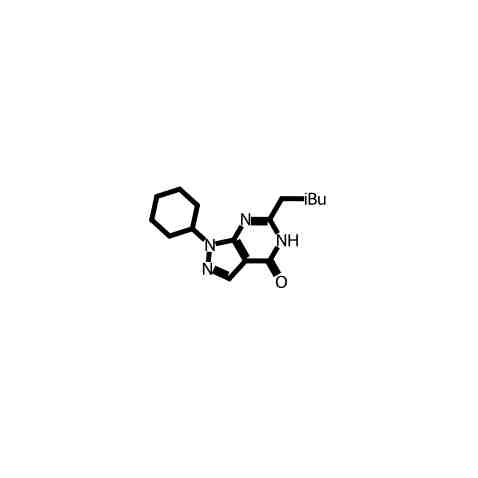 CCC(C)Cc1nc2c(cnn2C2CCCCC2)c(=O)[nH]1